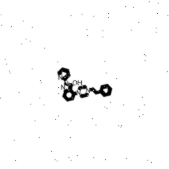 Oc1c2c(nn1-c1ccccn1)CCCC2N1CCN(CCc2ccccc2)CC1